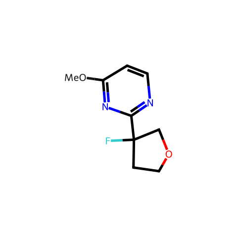 COc1ccnc(C2(F)CCOC2)n1